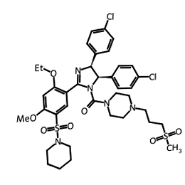 CCOc1cc(OC)c(S(=O)(=O)N2CCCCC2)cc1C1=N[C@@H](c2ccc(Cl)cc2)[C@@H](c2ccc(Cl)cc2)N1C(=O)N1CCN(CCCS(C)(=O)=O)CC1